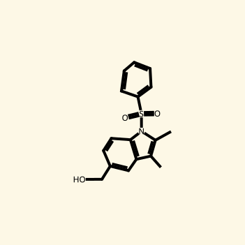 Cc1c(C)n(S(=O)(=O)c2ccccc2)c2ccc(CO)cc12